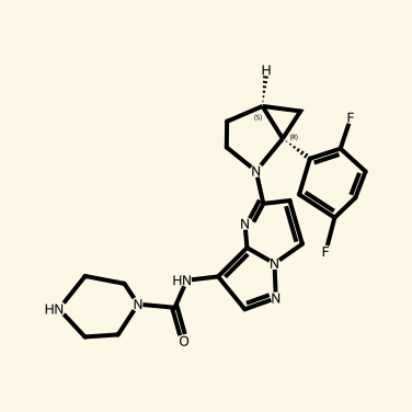 O=C(Nc1cnn2ccc(N3CC[C@H]4C[C@]43c3cc(F)ccc3F)nc12)N1CCNCC1